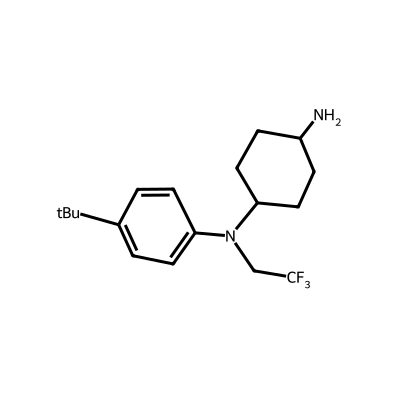 CC(C)(C)c1ccc(N(CC(F)(F)F)C2CCC(N)CC2)cc1